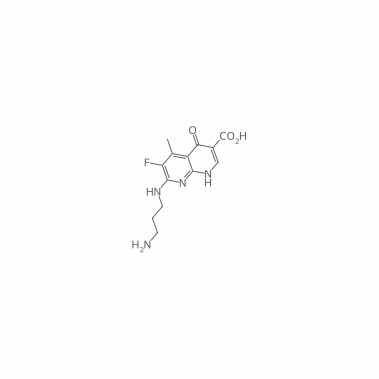 Cc1c(F)c(NCCCN)nc2[nH]cc(C(=O)O)c(=O)c12